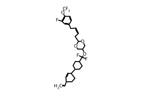 C=CC1C=CC(C2CCC(C(F)(F)OC3COC(C/C=C\Cc4ccc(OC(F)(F)F)c(F)c4)OC3)CC2)CC1